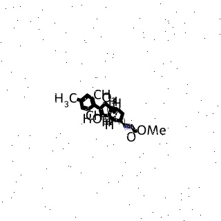 COC(=O)/C=C/[C@@H]1C[C@@H]2O[C@H]1[C@H]1C(O)=C(c3c(C)cc(C)cc3C)C(=O)[C@H]12